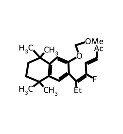 CC/C(=C(F)/C=C/C(C)=O)c1cc2c(cc1OCOC)C(C)(C)CCC2(C)C